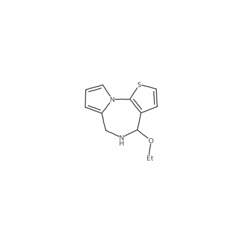 CCOC1NCc2cccn2-c2sccc21